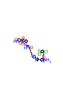 Nc1ncc(-c2cnn(C3CCN(CCCCCC(=O)N4CC(Nc5cccc6c5C(=O)N([C@H]5CCC(=O)NC5=O)C6=O)C4)CC3)c2)cc1OCCc1c(Cl)ccc(F)c1Cl